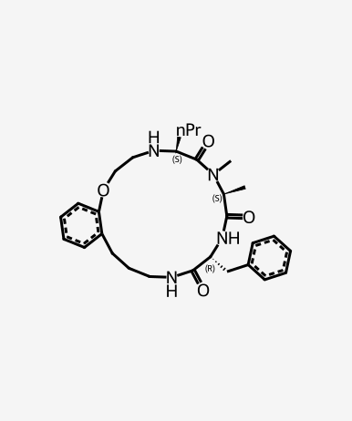 CCC[C@@H]1NCCOc2ccccc2CCCNC(=O)[C@@H](Cc2ccccc2)NC(=O)[C@H](C)N(C)C1=O